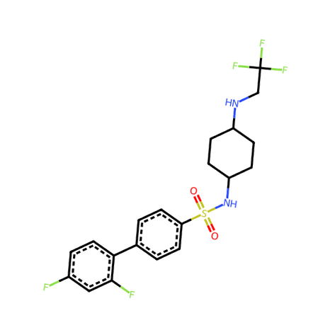 O=S(=O)(NC1CCC(NCC(F)(F)F)CC1)c1ccc(-c2ccc(F)cc2F)cc1